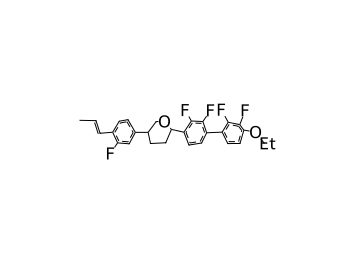 C/C=C/c1ccc(C2CCC(c3ccc(-c4ccc(OCC)c(F)c4F)c(F)c3F)OC2)cc1F